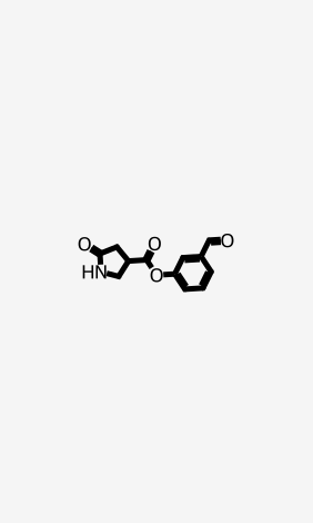 O=Cc1cccc(OC(=O)C2CNC(=O)C2)c1